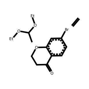 C=C.CCOC(C)OCC.O=C1CCOc2cc(Br)ccc21